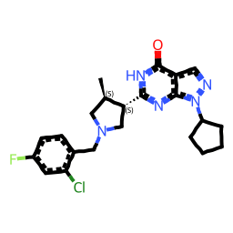 C[C@@H]1CN(Cc2ccc(F)cc2Cl)C[C@H]1c1nc2c(cnn2C2CCCC2)c(=O)[nH]1